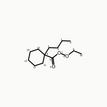 CCCCC1(C(=O)OOCC)CCCCC1